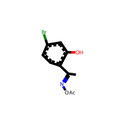 CC(=O)O/N=C(\C)c1ccc(Br)cc1O